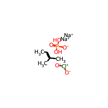 CC=C(C)C.O=P([O-])(O)O.[Na+].[Na+].[O-][Cl+][O-]